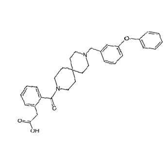 O=C(O)Cc1ccccc1C(=O)N1CCC2(CCN(Cc3cccc(Oc4ccccc4)c3)CC2)CC1